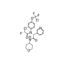 O=C(NC1CCOCC1)[C@@H](c1cccnc1)N(C(=O)[C@H](F)Cl)c1ccc(OC(F)(F)Cl)cc1